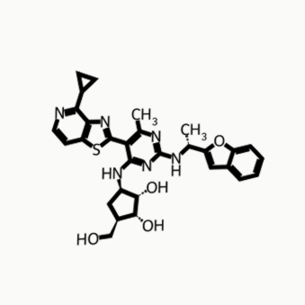 Cc1nc(N[C@H](C)c2cc3ccccc3o2)nc(N[C@@H]2C[C@H](CO)[C@@H](O)[C@H]2O)c1-c1nc2c(C3CC3)nccc2s1